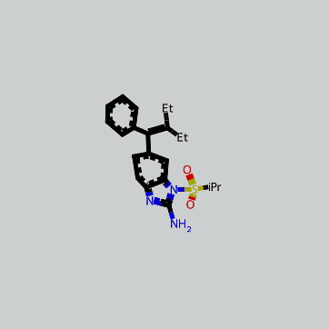 CCC(CC)=C(c1ccccc1)c1ccc2nc(N)n(S(=O)(=O)C(C)C)c2c1